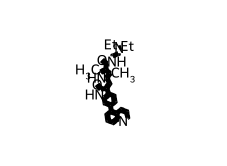 CCN(CC)CCNC(=O)c1c(C)[nH]c(/C=C2\C(=O)Nc3cc(-c4cccc5ncccc45)ccc32)c1C